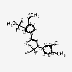 C=Cc1ccc(/C(F)=C/C(c2ccc(C)c(Cl)c2)C(F)(F)F)cc1C(C)(F)F